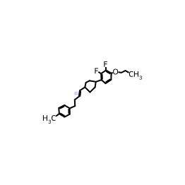 CCCOc1ccc(C2CCC(/C=C/CCc3ccc(C)cc3)CC2)c(F)c1F